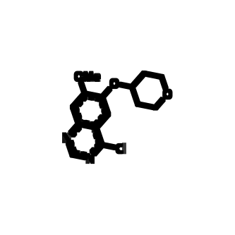 COc1cc2ncnc(Cl)c2cc1OC1CCOCC1